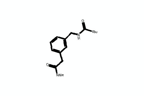 CNC(=O)Cc1cccc(CNC(=O)C(C)(C)C)c1